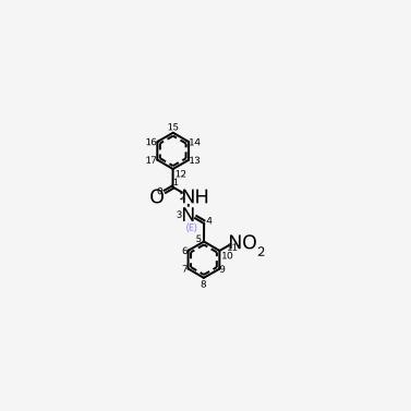 O=C(N/N=C/c1ccccc1[N+](=O)[O-])c1ccccc1